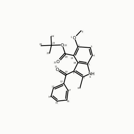 COc1ccc2[nH]c(C)c(C(=O)c3ccccc3)c2c1C(=O)OC(C)(C)C